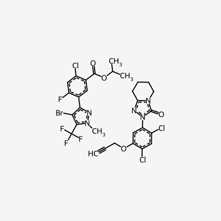 C#CCOc1cc(-n2nc3n(c2=O)CCCC3)c(Cl)cc1Cl.CC(C)OC(=O)c1cc(-c2nn(C)c(C(F)(F)F)c2Br)c(F)cc1Cl